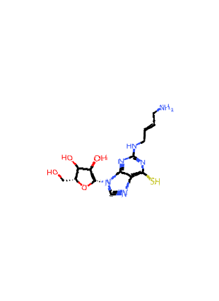 NC/C=C/CNc1nc(S)c2ncn([C@@H]3O[C@H](CO)C(O)C3O)c2n1